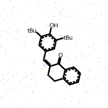 CC(C)(C)c1cc(/C=C2/CCc3ccccc3C2=O)cc(C(C)(C)C)c1O